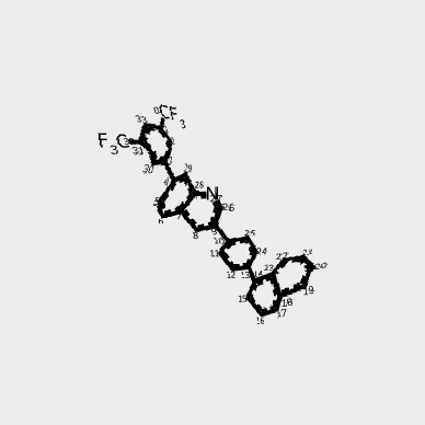 FC(F)(F)c1cc(-c2ccc3cc(-c4ccc(-c5cccc6ccccc56)cc4)cnc3c2)cc(C(F)(F)F)c1